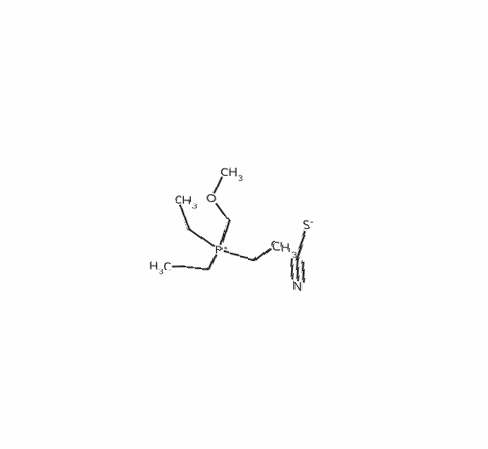 CC[P+](CC)(CC)COC.N#C[S-]